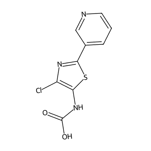 O=C(O)Nc1sc(-c2cccnc2)nc1Cl